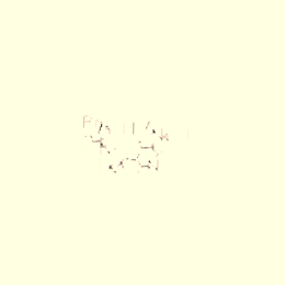 CN(C)c1cncc(C(=O)CNC(=O)OC(C)(C)C)c1